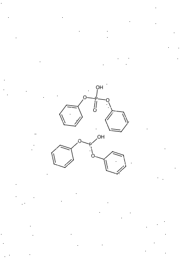 O=P(O)(Oc1ccccc1)Oc1ccccc1.OP(Oc1ccccc1)Oc1ccccc1